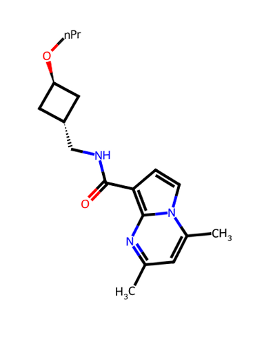 CCCO[C@H]1C[C@H](CNC(=O)c2ccn3c(C)cc(C)nc23)C1